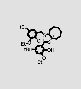 CCOc1cc(C(C)(C)C)cc(CS[C@H]2CCCCCC[C@@H]2SCc2cc(C(C)(C)C)cc(OCC)c2O)c1O